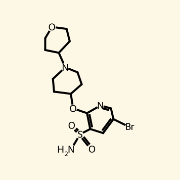 NS(=O)(=O)c1cc(Br)cnc1OC1CCN(C2CCOCC2)CC1